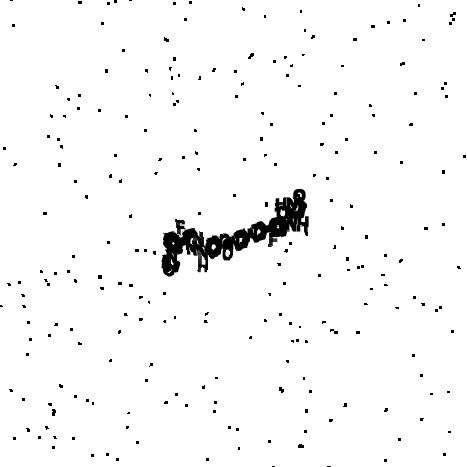 O=C1CCC(Nc2ccc(C3CCN(C4CCN(C(=O)O[C@H]5CC[C@H](Nc6ncc(F)c(-c7cccc(N8CCOCC8)c7)n6)CC5)CC4)CC3)c(F)c2)C(=O)N1